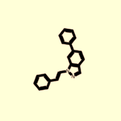 C(=Cn1ncc2ccc(-c3ccccc3)cc21)c1ccccc1